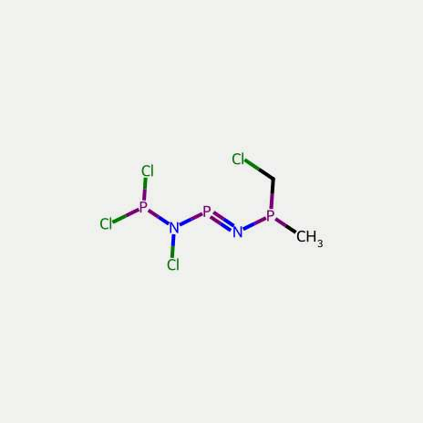 CP(CCl)N=PN(Cl)P(Cl)Cl